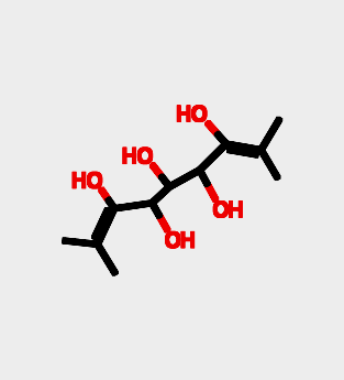 CC(C)=C(O)C(O)C(O)C(O)C(O)=C(C)C